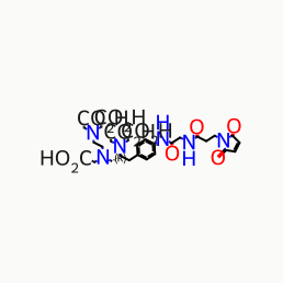 O=C(O)CN(CCN(CC(=O)O)C[C@@H](Cc1ccc(NC(=O)CNC(=O)CCN2C(=O)C=CC2=O)cc1)N(CC(=O)O)CC(=O)O)CC(=O)O